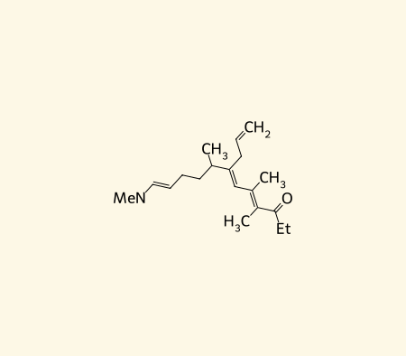 C=CC/C(=C\C(C)=C(/C)C(=O)CC)C(C)CC/C=C/NC